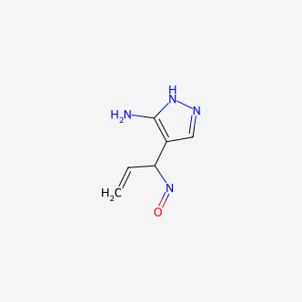 C=CC(N=O)c1cn[nH]c1N